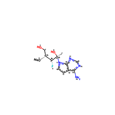 CO[C@H](CO)[C@@H](F)[C@@](C)(O)n1ccc2c(N)ncnc21